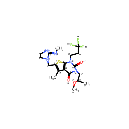 C/N=C1\NCCN1Cc1sc2c(c1C)c(=O)n(CC(C)OC)c(=O)n2CCC(F)(F)F